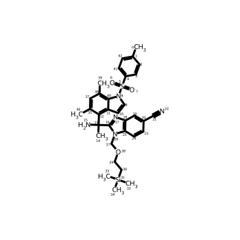 Cc1ccc(S(=O)(=O)n2ccc3c(C(C)(N)c4nc5cc(C#N)ccc5n4COCC[Si](C)(C)C)c(C)cc(C)c32)cc1